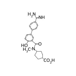 CN(C(=O)c1cc(-c2ccc(C(=N)N)cc2)ccc1O)C1CCC(C(=O)O)CC1